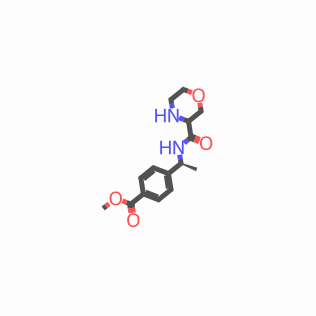 COC(=O)c1ccc([C@H](C)NC(=O)C2COCCN2)cc1